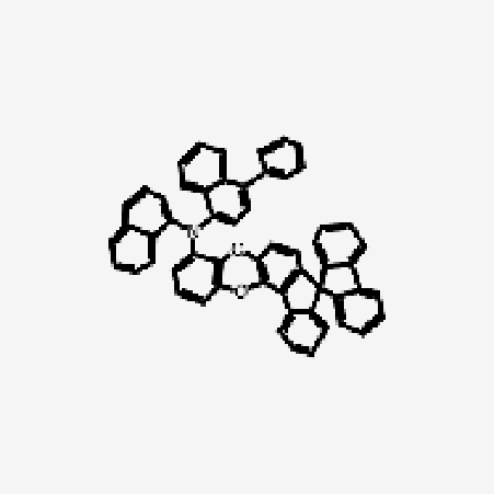 c1ccc(-c2ccc(N(c3cccc4c3Oc3ccc5c(c3O4)-c3ccccc3C53c4ccccc4-c4ccccc43)c3cccc4ccccc34)c3ccccc23)cc1